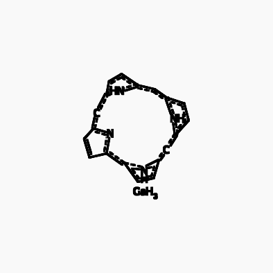 C1=Cc2nc1cc1ccc(cc3ccc(cc4ccc2[nH]4)[nH]3)[nH]1.[GaH3]